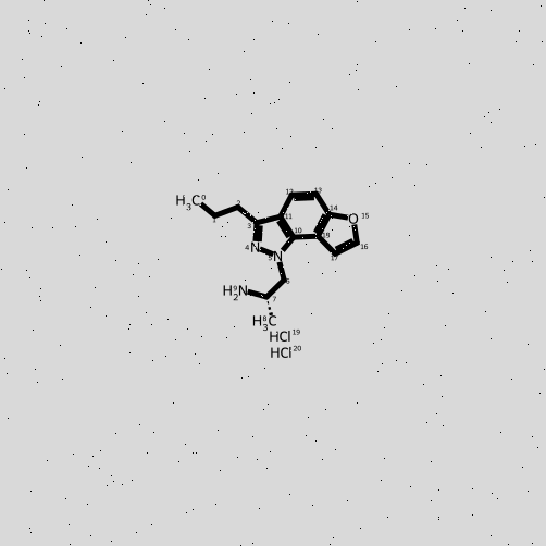 CCCc1nn(C[C@H](C)N)c2c1ccc1occc12.Cl.Cl